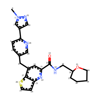 Cn1cc(-c2ccc(Cc3cc(C(=O)NCC4CCCCO4)nc4ccsc34)cn2)cn1